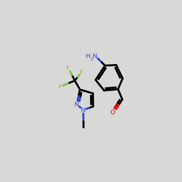 Cn1ccc(C(F)(F)F)n1.Nc1ccc(C=O)cc1